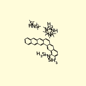 CN1[SiH2]N[Si](C)(C)N(C)[Si]1(C)C.C[Si](C)(C)N[Si](C)(C)C.Cc1ccc2cc3ccc4cc5cc6ccccc6cc5cc4c3cc2c1N([SiH3])[SiH3]